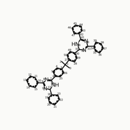 CC(C)(c1ccc(C2=NC(c3ccccc3)=NC(c3ccccc3)N2)cc1)c1ccc(C2N=C(c3ccccc3)N=C(c3ccccc3)N2)cc1